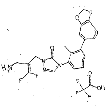 Cc1c(-c2ccc3c(c2)OCO3)cccc1-n1cnn(CC(CN)=C(F)F)c1=O.O=C(O)C(F)(F)F